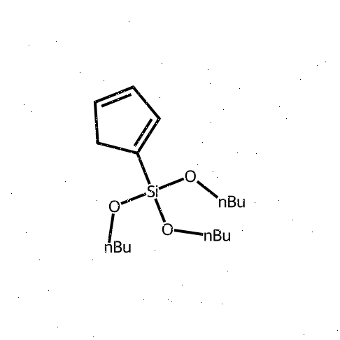 CCCCO[Si](OCCCC)(OCCCC)C1=CC=CC1